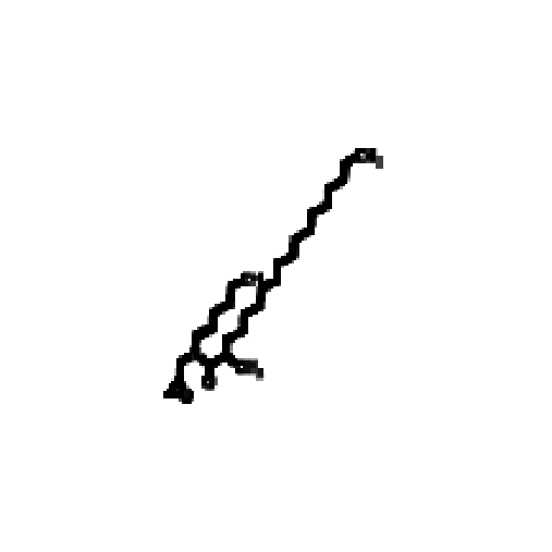 CCCCC=CN(CC1CO1)C(=O)C(C)CCCCCCCCCCCCCCCC